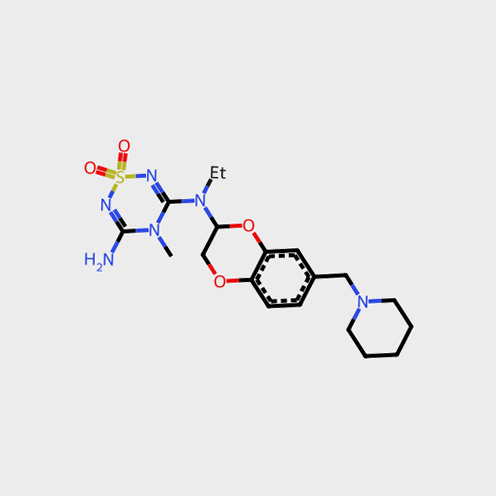 CCN(C1=NS(=O)(=O)N=C(N)N1C)C1COc2ccc(CN3CCCCC3)cc2O1